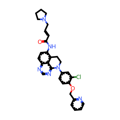 O=C(/C=C/CN1CCCC1)Nc1ccc2ncnc3c2c1CCN3c1ccc(OCc2ccccn2)c(Cl)c1